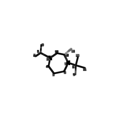 CC(C)N1CCCN(C(C)(C)C)[C@@H](C)C1